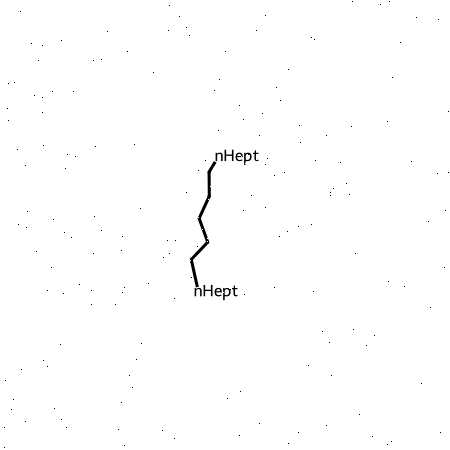 [CH]CCCCCCCCCCCCCCCCC[CH2]